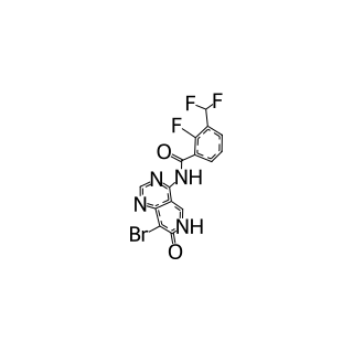 O=C(Nc1ncnc2c(Br)c(=O)[nH]cc12)c1cccc(C(F)F)c1F